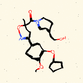 COc1ccc(C2=NOC(C)(C(=O)N3CCC(CO)C3)C2)cc1OC1CCCC1